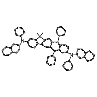 CC1(C)c2cc(N(c3ccccc3)c3ccc4ccccc4c3)ccc2-c2cc3c(-c4ccccc4)c4cc(N(c5ccccc5)c5ccc6ccccc6c5)ccc4c(-c4ccccc4)c3cc21